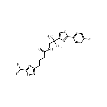 CC(C)(CNC(=O)CCCc1noc(C(F)F)n1)c1coc(-c2ccc(F)cc2)n1